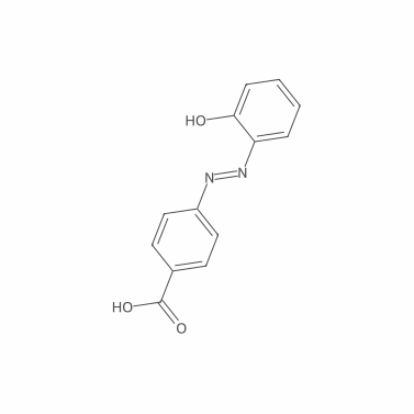 O=C(O)c1ccc(/N=N/c2ccccc2O)cc1